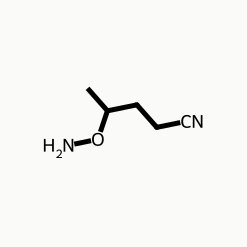 CC(CCC#N)ON